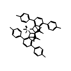 CC1=C(C(C)(C)C)[CH]([Zr]([CH3])([CH3])(=[SiH2])[CH]2C(C(C)(C)C)=C(C)c3c(-c4ccc(C)cc4)ccc(-c4ccc(C)cc4)c32)c2c(-c3ccc(C)cc3)ccc(-c3ccc(C)cc3)c21